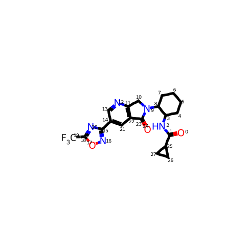 O=C(NC1CCCCC1N1Cc2ncc(-c3noc(C(F)(F)F)n3)cc2C1=O)C1CC1